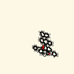 c1ccc(-c2ccc3c(c2)C2(c4ccccc4Oc4ccccc42)c2cc(-c4ccccc4)ccc2N3c2c3ccccc3c(-c3cccc4ccccc34)c3ccccc23)cc1